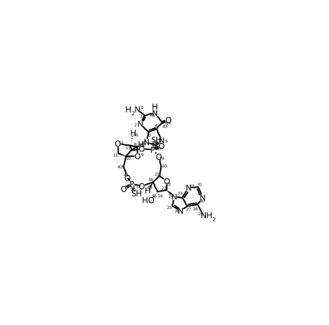 Nc1nc2c(ncn2[C@@H]2O[C@@]34CO[C@@H]2[C@@H]3O[P@@](=O)(S)OCC2O[C@@H](n3cnc5c(N)ncnc53)[C@H](O)[C@@H]2O[P@@](=O)(S)OC4)c(=O)[nH]1